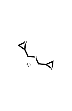 C(OCC1CO1)C1CO1.S